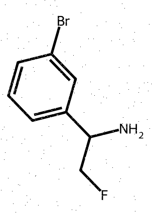 NC(CF)c1cccc(Br)c1